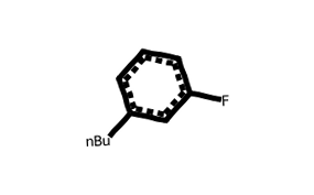 CCCCc1cccc(F)c1